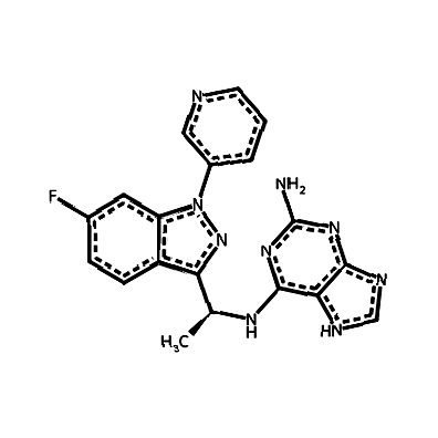 C[C@H](Nc1nc(N)nc2nc[nH]c12)c1nn(-c2cccnc2)c2cc(F)ccc12